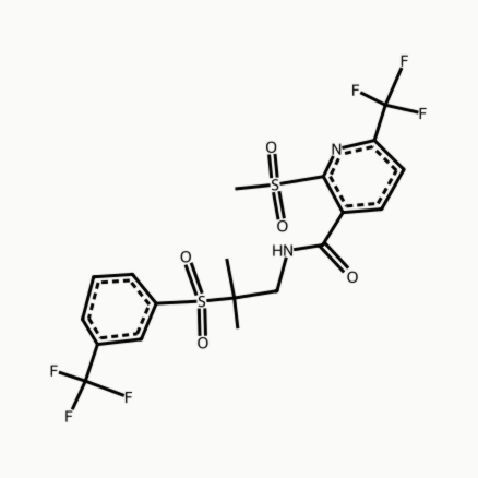 CC(C)(CNC(=O)c1ccc(C(F)(F)F)nc1S(C)(=O)=O)S(=O)(=O)c1cccc(C(F)(F)F)c1